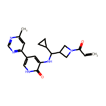 C=CC(=O)N1CC(C(Nc2cc(-c3cc(C)ncn3)c[nH]c2=O)C2CC2)C1